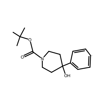 CC(C)(C)OC(=O)N1CCC(O)(c2cc[c]cc2)CC1